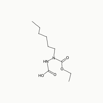 CCCCCCN(NC(=O)O)C(=O)OCC